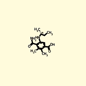 CC[C@@H](C)Nc1cc(C(=O)O)c(C)c(C)c1C(N)=O